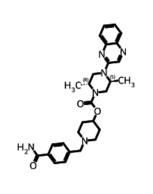 C[C@@H]1CN(c2cnc3ccccc3n2)[C@@H](C)CN1C(=O)OC1CCN(Cc2ccc(C(N)=O)cc2)CC1